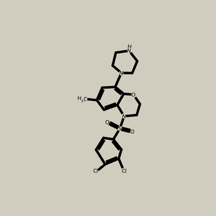 Cc1cc(N2CCNCC2)c2c(c1)N(S(=O)(=O)c1ccc(Cl)c(Cl)c1)CCO2